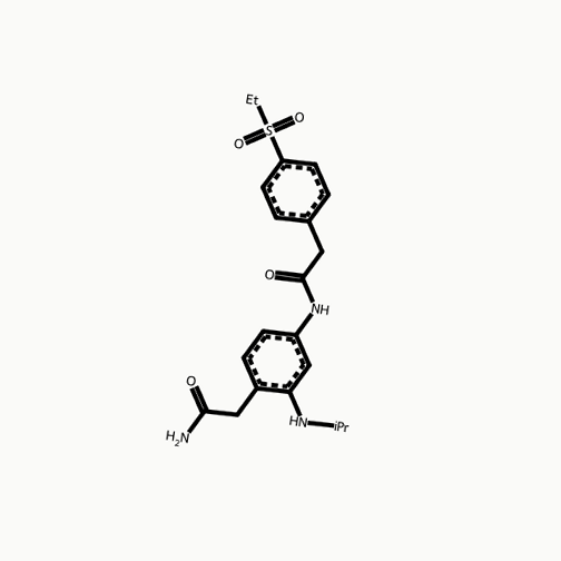 CCS(=O)(=O)c1ccc(CC(=O)Nc2ccc(CC(N)=O)c(NC(C)C)c2)cc1